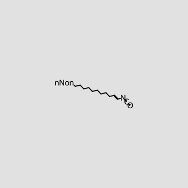 CCCCCCCCCCCCCCCCCC/C=C/N=C=O